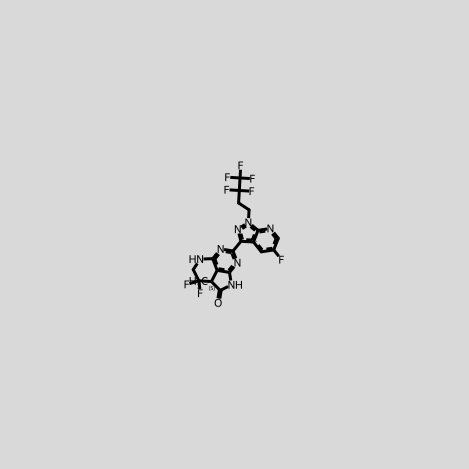 C[C@@]12C(=O)Nc3nc(-c4nn(CCC(F)(F)C(F)(F)F)c5ncc(F)cc45)nc(c31)NCC2(F)F